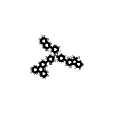 CC1(C)c2ccccc2-c2ccc(-c3ccc(N(c4ccc(-c5ccc6c7ccccc7c7ccccc7c6c5)cc4)c4cccc(-c5ccc6ccccc6c5)c4)cc3)cc21